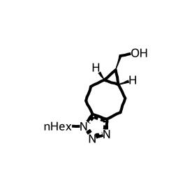 CCCCCCn1nnc2c1CC[C@@H]1[C@@H](CO)[C@@H]1CC2